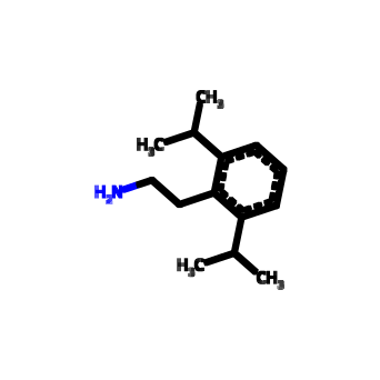 CC(C)c1cccc(C(C)C)c1CCN